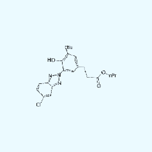 CCCOC(=O)CCc1cc(-n2nc3ccc(Cl)cc3n2)c(O)c(C(C)(C)C)c1